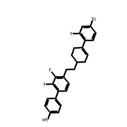 CCCc1ccc(-c2ccc(CCC3CC=C(c4ccc(CC)cc4F)CC3)c(F)c2F)cc1